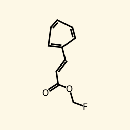 O=C(/C=C/c1ccccc1)OCF